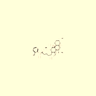 C[C@H](CCC(=O)Nc1ccccc1C=O)[C@H]1CC[C@H]2[C@@H]3[C@H](OC=O)C[C@@H]4C[C@H](OC=O)CC[C@]4(C)[C@H]3C[C@H](OC=O)[C@]12C